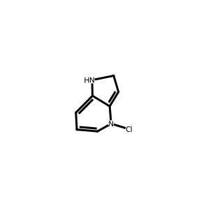 ClN1C=CC=C2NCC=C21